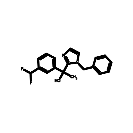 CC(O)(c1cccc(C(F)F)c1)c1nccn1Cc1ccccc1